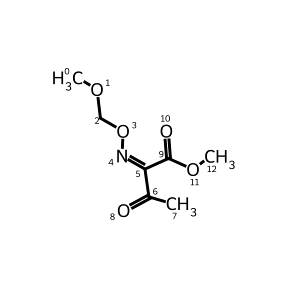 COCON=C(C(C)=O)C(=O)OC